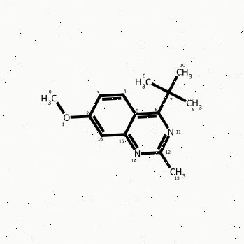 COc1ccc2c(C(C)(C)C)nc(C)nc2c1